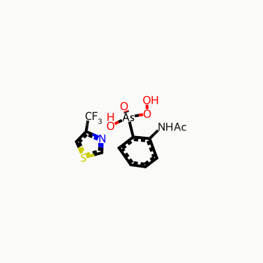 CC(=O)Nc1ccccc1[As](=O)(O)OO.FC(F)(F)c1cscn1